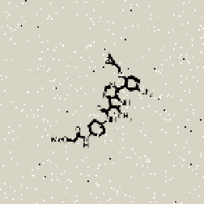 COCC(=O)N[C@H]1CC[C@@H](NC(=O)c2c(C)[nH]c3c(-c4cc(C(F)(F)F)ccc4OCC4CC4)ncnc23)CC1